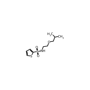 CC(C)COCCNS(=O)(=O)c1cccs1